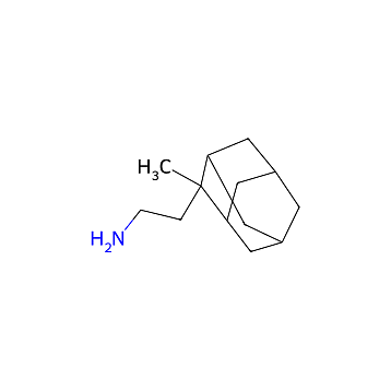 CC1(CCN)C2CC3CC(C2)CC1C3